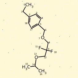 CCc1ccc(COCC(F)(F)COC(C)C)cc1